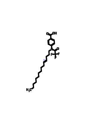 CCCCCCCCCC/C=C/CCCN(C(=O)C(F)(F)F)c1ccc(C(=O)O)cc1